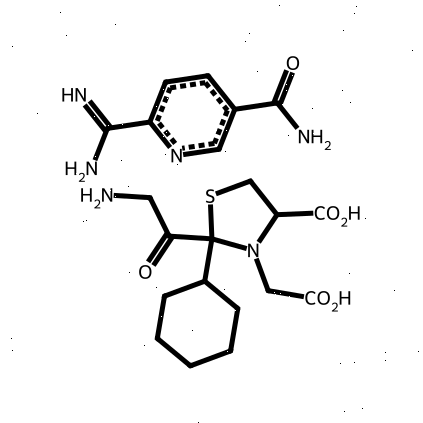 N=C(N)c1ccc(C(N)=O)cn1.NCC(=O)C1(C2CCCCC2)SCC(C(=O)O)N1CC(=O)O